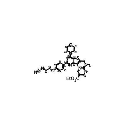 CCOC(=O)c1cnc(N(C)Cc2cc3nc(-c4ccc(OCCN=[N+]=[N-])nc4)nc(N4CCOCC4)c3s2)nc1